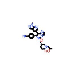 CC(O)CN1CCC[C@@H](COc2nc(-c3ccc(C#N)cc3)c(-c3cnc4c(cnn4C)c3)c3nccn23)C1